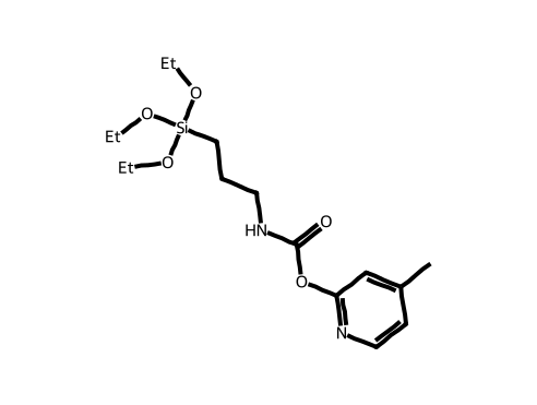 CCO[Si](CCCNC(=O)Oc1cc(C)ccn1)(OCC)OCC